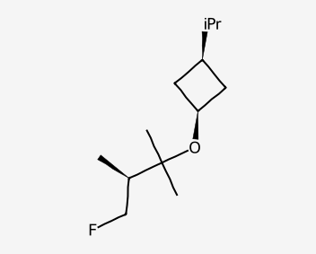 CC(C)[C@H]1C[C@@H](OC(C)(C)[C@H](C)CF)C1